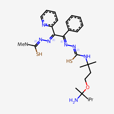 CN/C(S)=N/N=C(/C(=N/N=C(\S)NC(C)(C)CCOC(C)(N)C(C)C)c1ccccc1)c1ccccn1